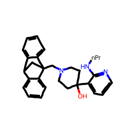 CCCNc1ncccc1C1(O)CCN(CC23CC(c4ccccc42)c2ccccc23)CC1